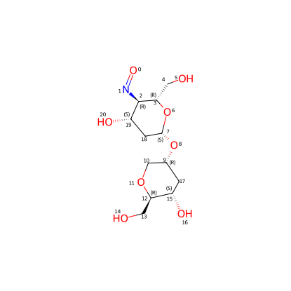 O=N[C@H]1[C@H](CO)O[C@H](O[C@H]2CO[C@H](CO)[C@@H](O)C2)C[C@@H]1O